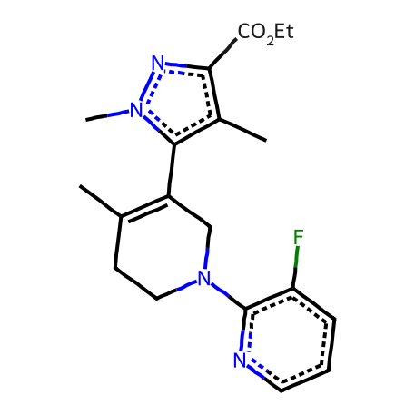 CCOC(=O)c1nn(C)c(C2=C(C)CCN(c3ncccc3F)C2)c1C